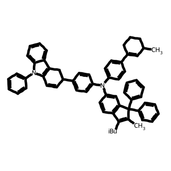 CCC(C)C1=C(C)C(c2ccccc2)(c2ccccc2)c2cc(N(c3ccc(C4=CC(C)CCC4)cc3)c3ccc(C4C=Cc5c(c6ccccc6n5-c5ccccc5)C4)cc3)ccc21